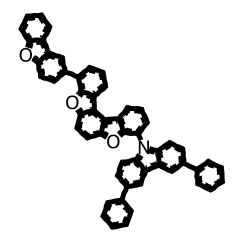 c1ccc(-c2ccc3c(c2)c2cc(-c4ccccc4)ccc2n3-c2cccc3c2oc2ccc4oc5c(-c6ccc7oc8ccccc8c7c6)cccc5c4c23)cc1